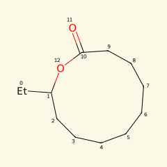 CCC1CCCCCCCCC(=O)O1